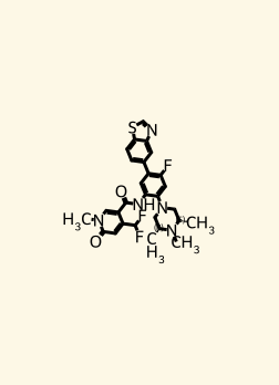 C[C@@H]1CN(c2cc(F)c(-c3ccc4scnc4c3)cc2NC(=O)c2cn(C)c(=O)cc2C(F)F)C[C@H](C)N1C